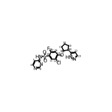 O=S(=O)(Nc1ccncn1)c1cc(Cl)c(O[C@@H]2CCC[C@H]2c2ccn[nH]2)cc1F